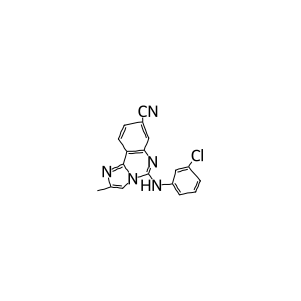 Cc1cn2c(Nc3cccc(Cl)c3)nc3cc(C#N)ccc3c2n1